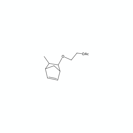 CC(=O)OCCOC1C2C=CC(C2)C1C